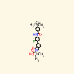 CC(C)[C@@H](C(=O)O)N1Cc2ccc(-c3ccc(NC(=O)c4ccc(C(C)(C)C)cc4)cc3F)cc2C1=O